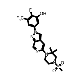 CC1(C)CN(S(C)(=O)=O)CCN1c1cc2cn(-c3cc(O)c(F)c(C(F)(F)F)c3)nc2cn1